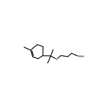 CCCCCCCCCCCCSC(C)(C)C1CC=C(C)CC1